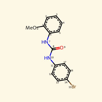 COc1ccccc1NC(=O)Nc1ccc(Br)cc1